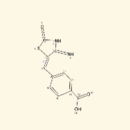 N=C1NC(=O)S/C1=C/c1ccc(C(=O)O)cc1